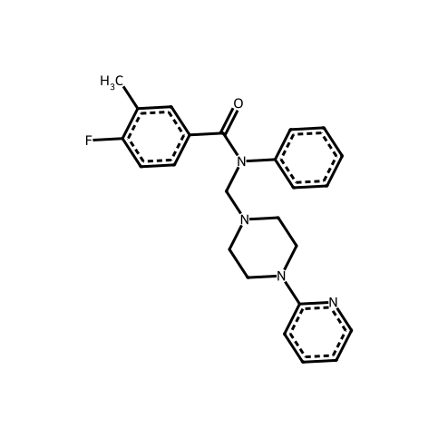 Cc1cc(C(=O)N(CN2CCN(c3ccccn3)CC2)c2ccccc2)ccc1F